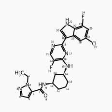 CCn1nccc1C(=O)N[C@@H]1CCC[C@H](Nc2nc(-c3c[nH]c4c(F)cc(Cl)cc34)ncc2F)C1